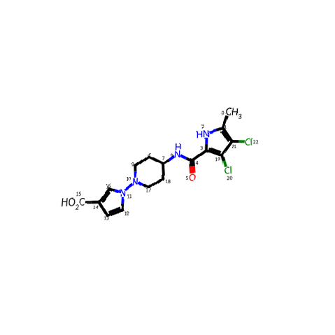 Cc1[nH]c(C(=O)NC2CCN(n3ccc(C(=O)O)c3)CC2)c(Cl)c1Cl